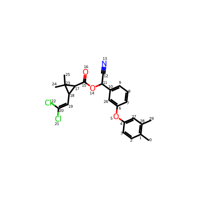 Cc1ccc(Oc2cccc(C(C#N)OC(=O)C3C(C=C(Cl)Cl)C3(C)C)c2)cc1C